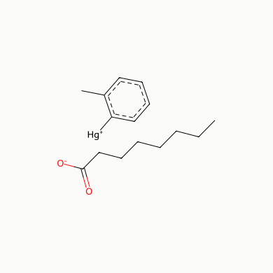 CCCCCCCC(=O)[O-].Cc1cccc[c]1[Hg+]